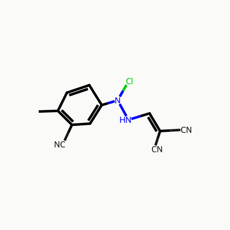 Cc1ccc(N(Cl)NC=C(C#N)C#N)cc1C#N